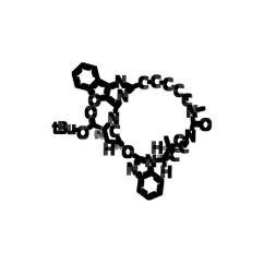 C[C@H]1CN2CC[C@@H]1n1c(nc3ccccc31)O[C@H]1C[C@@H](C(=O)OC(C)(C)C)N(C1)c1nc(nc3c1oc1ccccc13)CCCCCN(C)C2=O